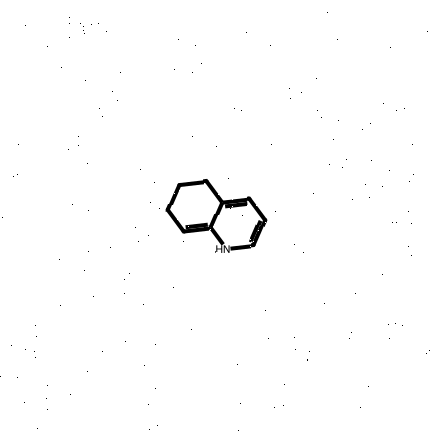 C1=CNC2=CCCCC2=C1